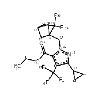 CCOC(=O)c1c(C(F)(F)F)c(C2CC2)nn1CC12CC(CC1(F)F)C2